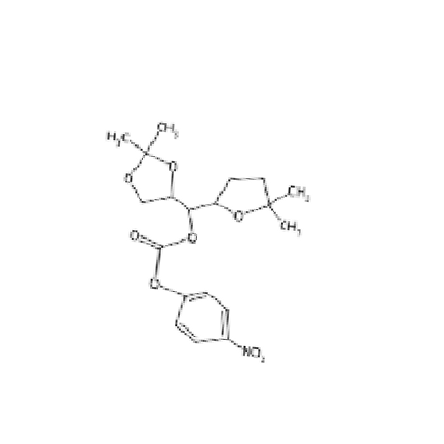 CC1(C)CCC(C(OC(=O)Oc2ccc([N+](=O)[O-])cc2)C2COC(C)(C)O2)O1